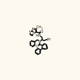 Cc1nc2sccn2c1C(=O)NCC(CC(C)C)N(Cc1ccccc1)C(=O)c1ccccc1-c1ccccc1